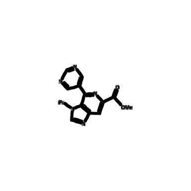 COC(=O)c1cc2ncn(C(C)C)c2c(-c2cncnc2)n1